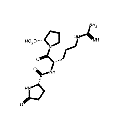 N=C(N)NCCC[C@H](NC(=O)[C@@H]1CCC(=O)N1)C(=O)N1CCC[C@H]1C(=O)O